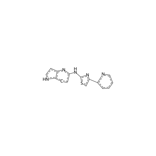 c1ccc(-c2csc(Nc3ccc4[nH]ccc4n3)n2)nc1